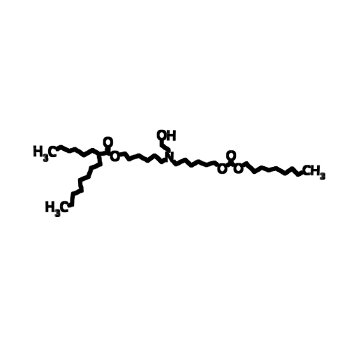 CCCCCCCCCOC(=O)OCCCCCCN(CCO)CCCCCCOC(=O)C(CCCCCC)CCCCCCCC